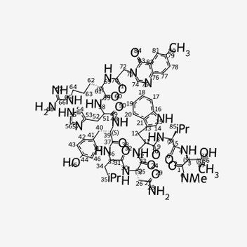 CNC(=O)[C@@H](NC(=O)[C@@H](NC(=O)C(Cc1c[nH]c2ccccc12)NC(=O)[C@H](CC(N)=O)NC(=O)C(CC(C)C)NC(=O)[C@H](Cc1ccc(O)cc1)NC(=O)C(Cc1c[nH]cn1)NC(=O)[C@H](CCCNC(=N)N)NC(=O)Cn1cnc2ccc(C)cc2c1=O)C(C)C)[C@@H](C)O